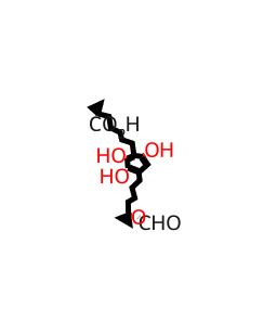 O=COC1(CCCCc2cc(O)c(CCCCCC3(C(=O)O)CC3)c(O)c2O)CC1